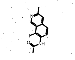 CC(=O)Nc1ccc2cc(C)ncc2c1I